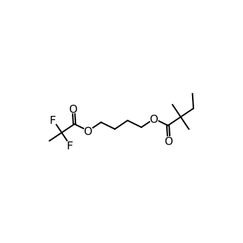 CCC(C)(C)C(=O)OCCCCOC(=O)C(C)(F)F